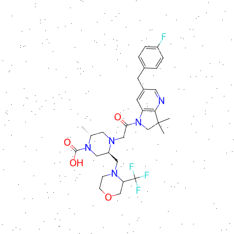 C[C@@H]1CN(CC(=O)N2CC(C)(C)c3ncc(Cc4ccc(F)cc4)cc32)[C@@H](CN2CCOCC2C(F)(F)F)CN1C(=O)O